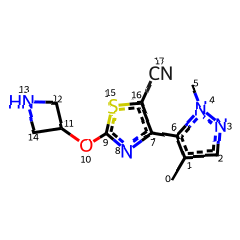 Cc1cnn(C)c1-c1nc(OC2CNC2)sc1C#N